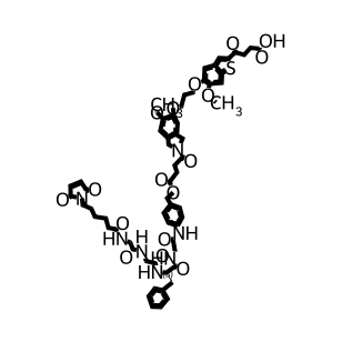 COc1cc2c(cc1OCCCOc1cc3cc(C(=O)CCC(=O)O)sc3cc1OC)CN(C(=O)CCC(=O)OCc1ccc(NC(=O)CNC(=O)[C@H](Cc3ccccc3)NC(=O)CNC(=O)CNC(=O)CCCCCN3C(=O)C=CC3=O)cc1)C2